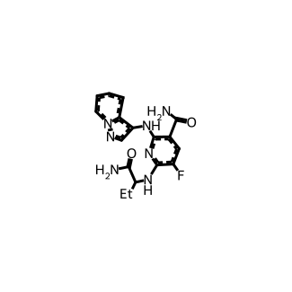 CCC(Nc1nc(Nc2cnn3ccccc23)c(C(N)=O)cc1F)C(N)=O